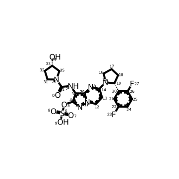 O=C(Nc1c(OS(=O)(=O)O)nn2ccc(N3CCC[C@@H]3c3cc(F)ccc3F)nc12)N1CC[C@H](O)C1